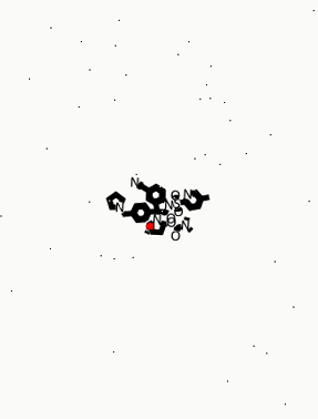 COc1cc(CN2CCCC2)ccc1C1(N2CCCC2OC(=O)N(C)C)C(=O)N(S(=O)(=O)c2ccc(C)cn2)c2ccc(C#N)cc21